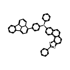 C1=CC2C(c3ccc(N(c4ccccc4)c4ccc5c(ccc6ccc7oc(-c8ccccc8)nc7c65)c4)cc3)=CC=C3c4ccccc4C(=C1)C32